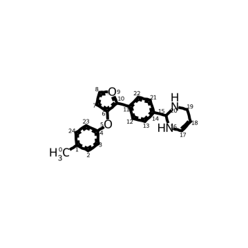 Cc1ccc(Oc2ccoc2-c2ccc(C3NC=CCN3)cc2)cc1